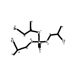 CC(Cl)CSP(=S)(OC(C)CBr)SCC(C)Cl